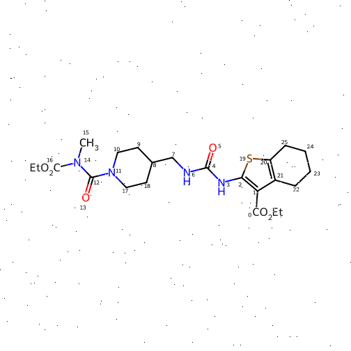 CCOC(=O)c1c(NC(=O)NCC2CCN(C(=O)N(C)C(=O)OCC)CC2)sc2c1CCCC2